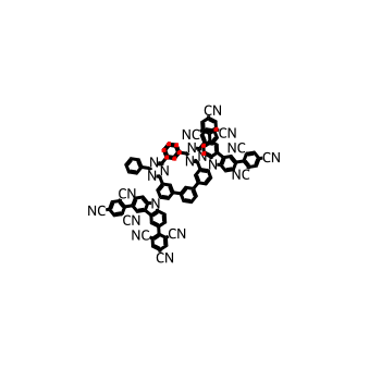 N#Cc1cc(C#N)c(-c2ccc3c(c2)c2cc(-c4c(C#N)cc(C#N)cc4C#N)ccc2n3-c2cc(-c3cccc(-c4ccc(-n5c6ccc(-c7c(C#N)cc(C#N)cc7C#N)cc6c6cc(-c7c(C#N)cc(C#N)cc7C#N)ccc65)c(-c5nc(-c6ccccc6)nc(-c6ccccc6)n5)c4)c3)cc(-c3nc(-c4ccccc4)nc(-c4ccccc4)n3)c2)c(C#N)c1